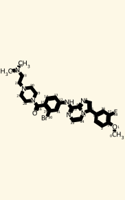 COc1ccc(-c2cnc3c(Nc4ccc(C(=O)N5CCN(CCN(C)C)CC5)c(Br)c4)nccn23)cc1F